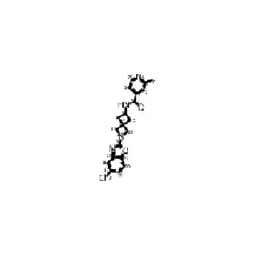 Cc1cc(C(=O)NC2CC3(C2)CN(c2nc4cc(Cl)ccc4o2)C3)ccn1